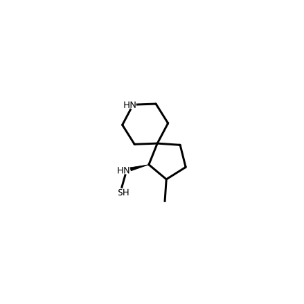 CC1CCC2(CCNCC2)[C@@H]1NS